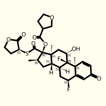 C[C@@H]1C[C@H]2[C@@H]3C[C@H](F)C4=CC(=O)C=C[C@]4(C)[C@@]3(F)[C@@H](O)C[C@]2(C)[C@@]1(OC(=O)C1CCOC1)C(=O)S[C@H]1CCOC1=O